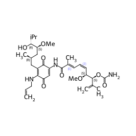 C=CCNC1=C(C[C@@H](C)C[C@H](OC)[C@H](O)C(C)C)C(=O)C(NC(=O)/C(C)=C/C=C\[C@H](OC)[C@@H](OC(N)=O)C(=C)C)=CC1=O